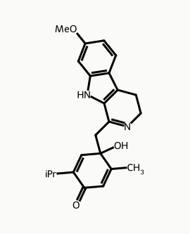 COc1ccc2c3c([nH]c2c1)C(CC1(O)C=C(C(C)C)C(=O)C=C1C)=NCC3